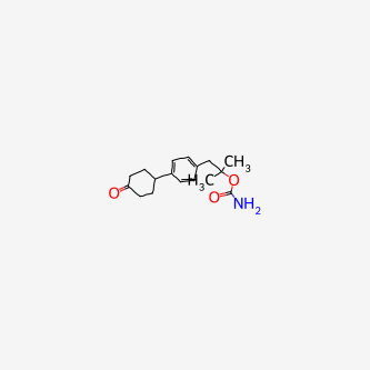 CC(C)(Cc1ccc(C2CCC(=O)CC2)cc1)OC(N)=O